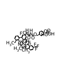 CCc1cccc2c1-n1nc3c(c1C1(C)C(F)=CC(C)(NC(=O)NC(=O)OCc4ccc(OP(=O)(O)O)cc4)C(F)=C21)CN(Cc1ccc(C(F)(F)F)cc1C(F)(F)F)C3(C)C